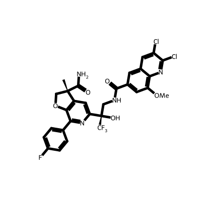 COc1cc(C(=O)NC[C@](O)(c2cc3c(c(-c4ccc(F)cc4)n2)OC[C@]3(C)C(N)=O)C(F)(F)F)cc2cc(Cl)c(Cl)nc12